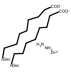 CCCCCCCCCCCCCCCCCC(=O)[O-].CCCCCCCCCCCCCCCCCC(=O)[O-].N.N.[Zn+2]